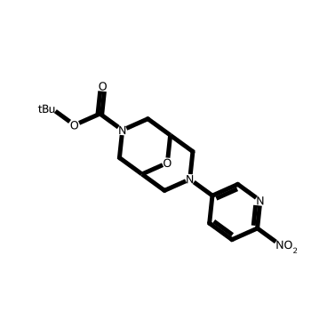 CC(C)(C)OC(=O)N1CC2CN(c3ccc([N+](=O)[O-])nc3)CC(C1)O2